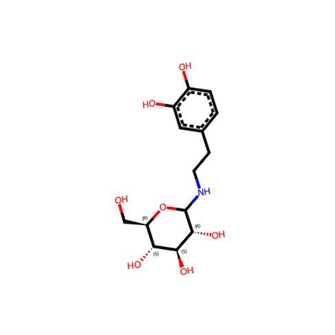 OC[C@H]1OC(NCCc2ccc(O)c(O)c2)[C@H](O)[C@@H](O)[C@@H]1O